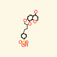 O=c1ccoc2c3c(ccc12)OCC(CCc1ccc(S(=O)(=O)O)cc1)O3